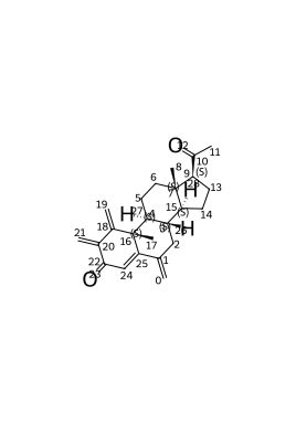 C=C1C[C@@H]2[C@H](CC[C@]3(C)[C@@H](C(C)=O)CC[C@@H]23)[C@@]2(C)C(=C)C(=C)C(=O)C=C12